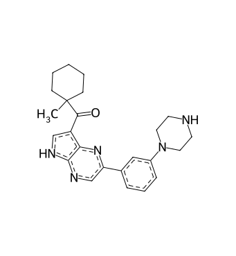 CC1(C(=O)c2c[nH]c3ncc(-c4cccc(N5CCNCC5)c4)nc23)CCCCC1